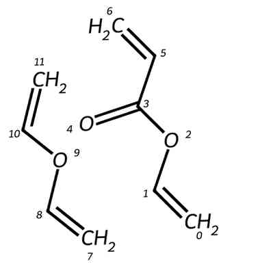 C=COC(=O)C=C.C=COC=C